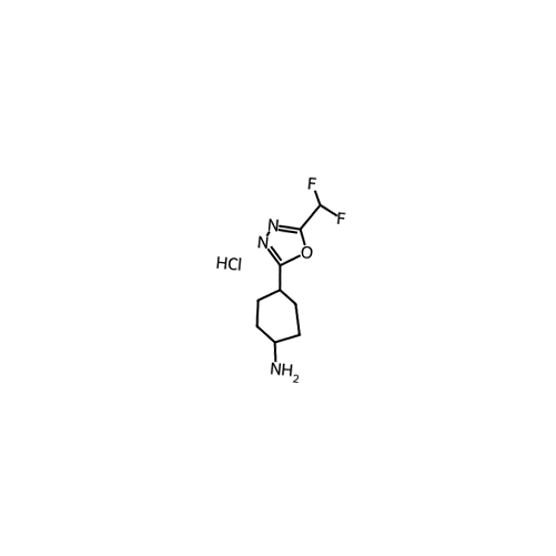 Cl.NC1CCC(c2nnc(C(F)F)o2)CC1